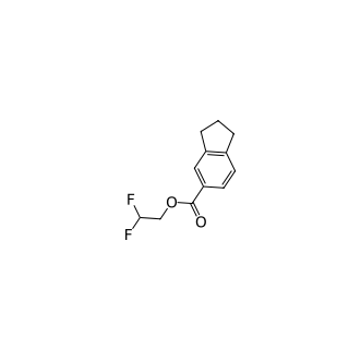 O=C(OCC(F)F)c1ccc2c(c1)CCC2